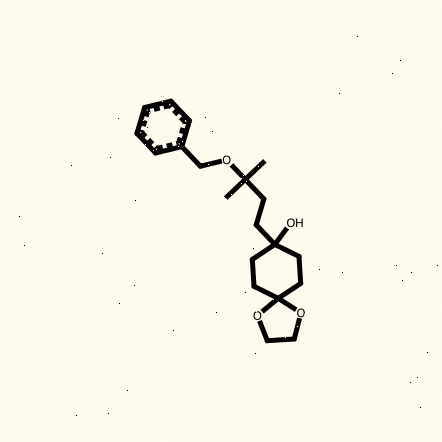 CC(C)(CCC1(O)CCC2(CC1)OCCO2)OCc1ccccc1